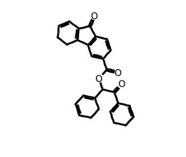 O=C(OC(C(=O)C1=CCCC=C1)C1=CC=CCC1)c1ccc2c(c1)C1=C(C=CCC1)C2=O